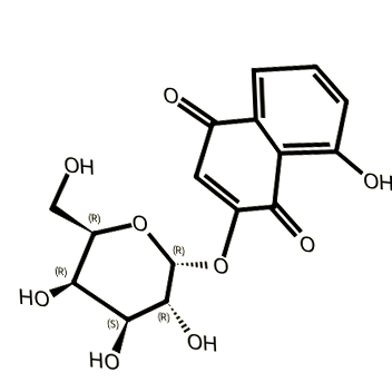 O=C1C=C(O[C@H]2O[C@H](CO)[C@H](O)[C@H](O)[C@H]2O)C(=O)c2c(O)cccc21